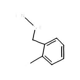 NNCc1ccccc1Cl